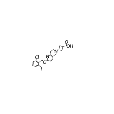 CCc1cccc(Cl)c1COc1ccc2c(n1)CCN(C1CC(C(=O)O)C1)C2